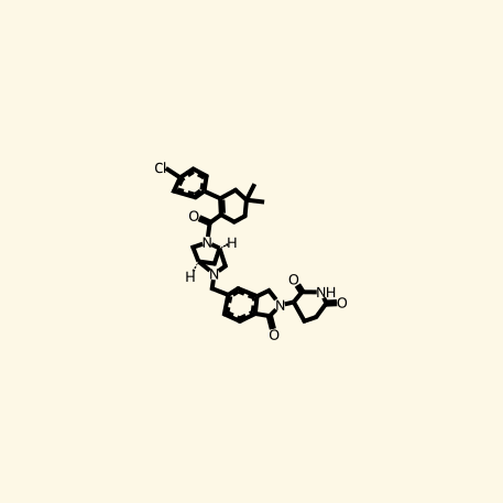 CC1(C)CCC(C(=O)N2C[C@H]3C[C@@H]2CN3Cc2ccc3c(c2)CN(C2CCC(=O)NC2=O)C3=O)=C(c2ccc(Cl)cc2)C1